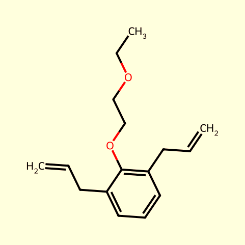 C=CCc1cccc(CC=C)c1OCCOCC